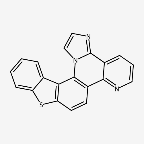 c1ccc2c(c1)sc1ccc3c4ncccc4c4nccn4c3c12